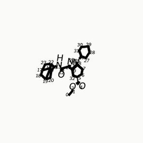 CCOC(=O)[C@@H]1CCc2c(c(C(=O)NC3C4CC5CC(C4)CC3C5)nn2C2CCCCC2)C1